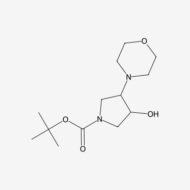 CC(C)(C)OC(=O)N1CC(O)C(N2CCOCC2)C1